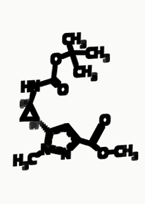 COC(=O)c1cc([C@@H]2C[C@H]2NC(=O)OC(C)(C)C)n(C)n1